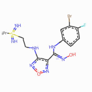 CC(C)S(=N)(=N)CCNc1nonc1/C(=N/O)Nc1ccc(F)c(Br)c1